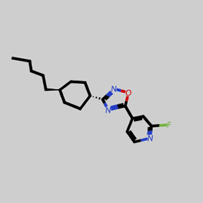 CCCCC[C@H]1CC[C@H](c2noc(-c3ccnc(F)c3)n2)CC1